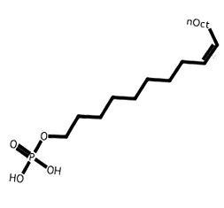 CCCCCCCC/C=C\CCCCCCCCOP(=O)(O)O